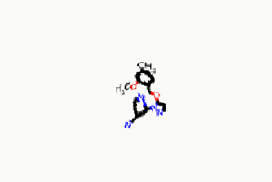 COc1cc(C)ccc1COc1ccnn1-c1cc(C#N)ccn1